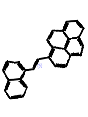 C(=C\c1ccc2ccc3cccc4ccc1c2c34)/c1cccc2ccccc12